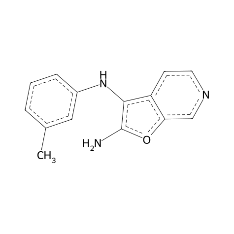 Cc1cccc(Nc2c(N)oc3cnccc23)c1